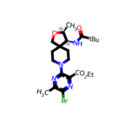 CCOC(=O)c1nc(Br)c(C)nc1N1CCC2(CC1)CO[C@@H](C)[C@H]2NC(=O)C(C)(C)C